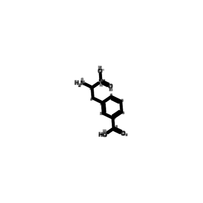 NC(Cc1cccc(C(=O)O)c1)[N+](=O)[O-]